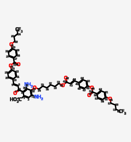 Nc1cc(C(=O)O)c(C(=O)/C=C/c2ccc(OC(=O)c3ccc(OCCCC(F)(F)F)cc3)cc2)c(N)c1OCCCCCCOC(=O)/C=C/c1ccc(OC(=O)c2ccc(OCCCC(F)(F)F)cc2)cc1